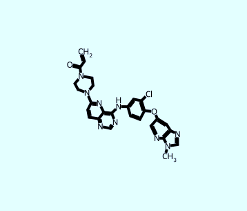 C=CC(=O)N1CCN(c2ccc3ncnc(Nc4ccc(Oc5cnc6c(c5)ncn6C)c(Cl)c4)c3n2)CC1